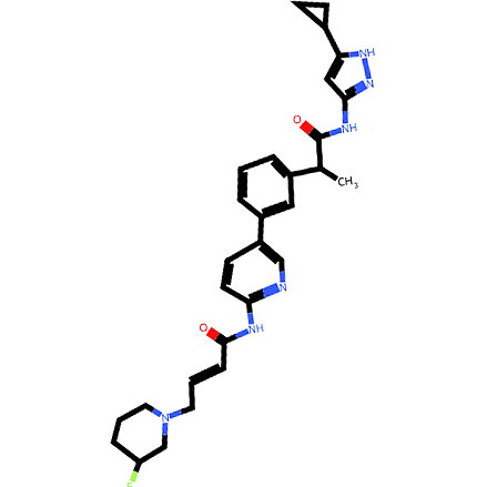 CC(C(=O)Nc1cc(C2CC2)[nH]n1)c1cccc(-c2ccc(NC(=O)/C=C/CN3CCCC(F)C3)nc2)c1